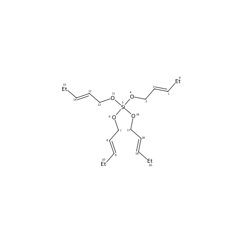 CCC=CCO[Si](OCC=CCC)(OCC=CCC)OCC=CCC